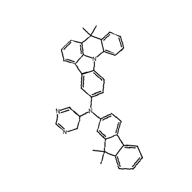 CC1(C)c2ccccc2-c2ccc(N(c3ccc4c(c3)c3cccc5c3n4-c3ccccc3C5(C)C)C3C=NC=NC3)cc21